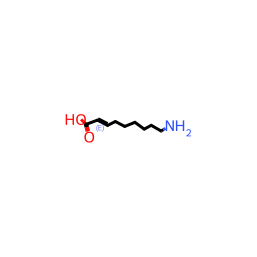 NCCCCCC/C=C/C(=O)O